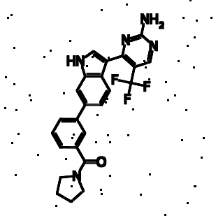 Nc1ncc(C(F)(F)F)c(-c2c[nH]c3cc(-c4cccc(C(=O)N5CCCC5)c4)ccc23)n1